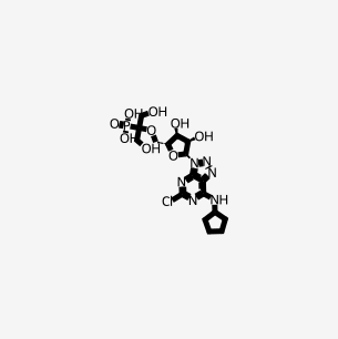 O=P(O)(O)C(CO)(CO)OC[C@H]1O[C@@H](n2nnc3c(NC4CCCC4)nc(Cl)nc32)[C@H](O)[C@@H]1O